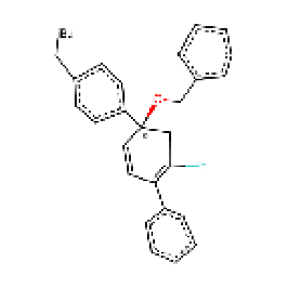 CCC(C)Cc1ccc([C@@]2(OCc3ccccc3)C=CC(c3ccccc3)=C(F)C2)cc1